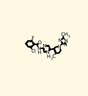 CC1=C(c2cnc(NC(=O)c3c(F)cccc3Cl)cn2)CN(C2=NC(C)N=N2)CC1